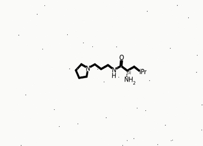 CC(C)C[C@H](N)C(=O)NCCCN1CCCC1